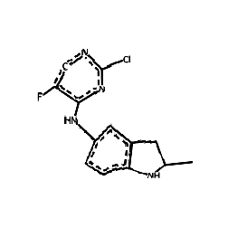 CC1Cc2cc(Nc3nc(Cl)ncc3F)ccc2N1